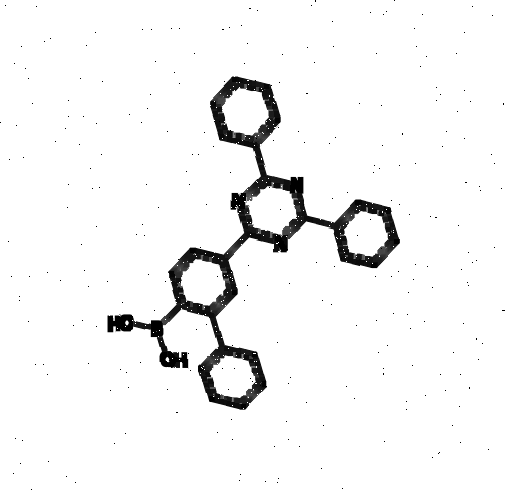 OB(O)c1ccc(-c2nc(-c3ccccc3)nc(-c3ccccc3)n2)cc1-c1ccccc1